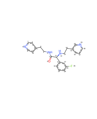 O=C(NCCc1ccncc1)[C@@H](NCCc1cccnc1)c1cccc(F)c1